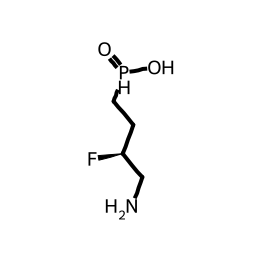 NC[C@@H](F)CC[PH](=O)O